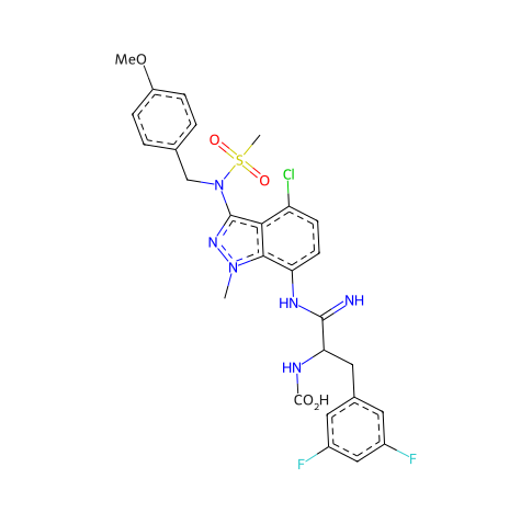 COc1ccc(CN(c2nn(C)c3c(NC(=N)C(Cc4cc(F)cc(F)c4)NC(=O)O)ccc(Cl)c23)S(C)(=O)=O)cc1